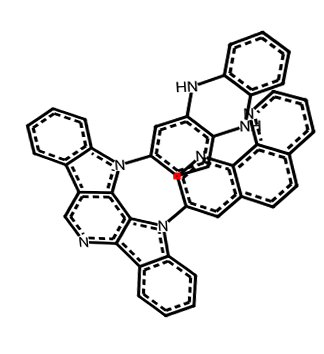 c1ccc2c(c1)Nc1ccc(-n3c4ccccc4c4cnc5c6ccccc6n(-c6cnc7c(ccc8cccnc87)c6)c5c43)cc1N2